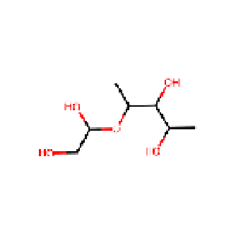 CC(O)C(O)C(C)OC(O)CO